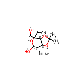 CC(=O)N[C@@H]1C(O)OC(CO)(CC#N)C2OC(C)(C)OC21